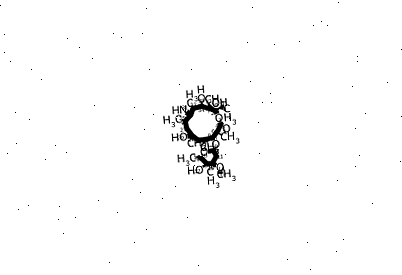 CC[C@H]1OC(=O)[C@H](C)[C@@H](O[C@H]2C[C@@](C)(OC)[C@@H](O)[C@H](C)O2)[C@H](C)C[C@](C)(O)C[C@@H](C)C(=N)[C@H](C)[C@@H](O)[C@]1(C)O